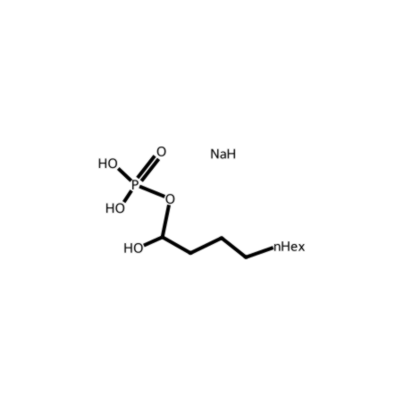 CCCCCCCCCC(O)OP(=O)(O)O.[NaH]